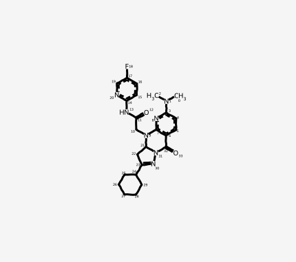 CN(C)c1ccc2c(n1)N(CC(=O)Nc1ccc(F)cn1)C1CC(C3CCCCC3)=NN1C2=O